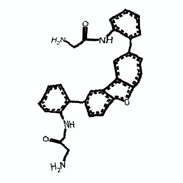 NCC(=O)Nc1ccccc1-c1ccc2oc3ccc(-c4ccccc4NC(=O)CN)cc3c2c1